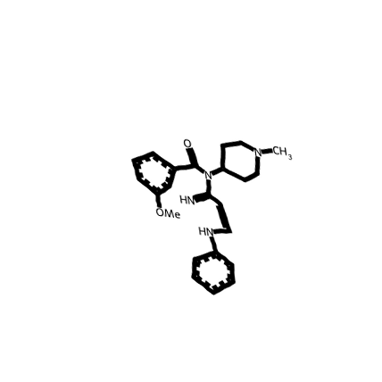 COc1cccc(C(=O)N(C(=N)/C=C\Nc2ccccc2)C2CCN(C)CC2)c1